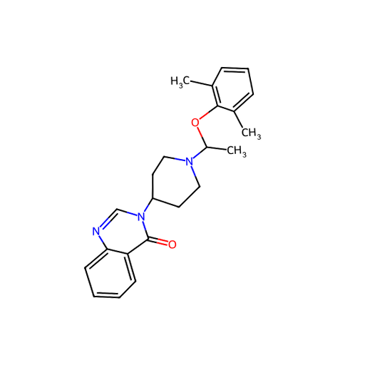 Cc1cccc(C)c1OC(C)N1CCC(n2cnc3ccccc3c2=O)CC1